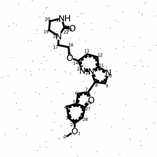 COc1ccc2cc(-c3cnc4ccc(OCCN5CCNC5=O)nn34)oc2c1